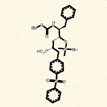 CC(C)(C)OC(=O)N[C@@H](Cc1ccccc1)[C@@H](C[C@H](Cc1ccc(S(=O)(=O)c2ccccc2)cc1)C(=O)O)O[Si](C)(C)C(C)(C)C